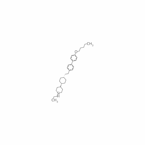 CCCCCOc1ccc(-c2ccc(CC[C@H]3CC[C@H](C4CC[SiH](CCC)CC4)CC3)cc2)cc1